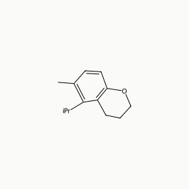 Cc1ccc2c(c1C(C)C)CCCO2